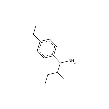 CCc1ccc(C(N)C(C)CC)cc1